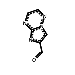 O=Cc1cn2nccnc2n1